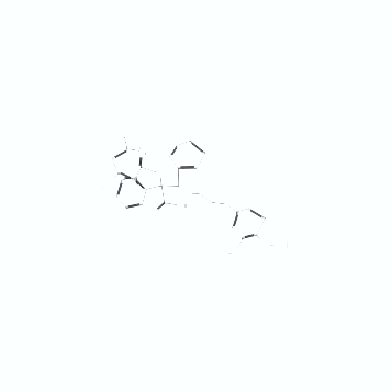 COc1ccc(CCCOC(c2ccccc2)C(Oc2nc(C)cc(C)n2)(C(=O)O)c2ccccc2)cc1OC